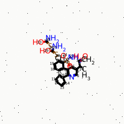 C.C=CC(C)c1cnc(-c2ccccc2)c(-c2ccccc2S(N)(=O)=O)c1.NC(O)=S.NC(O)=S.O